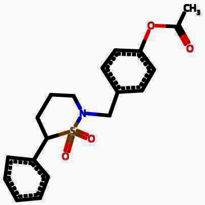 CC(=O)Oc1ccc(CN2CCCC(c3ccccc3)S2(=O)=O)cc1